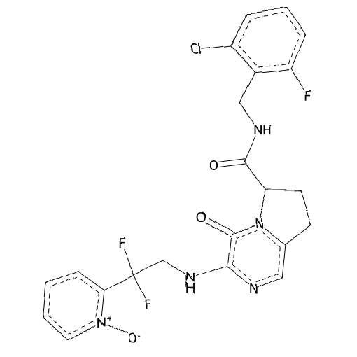 O=C(NCc1c(F)cccc1Cl)C1CCc2cnc(NCC(F)(F)c3cccc[n+]3[O-])c(=O)n21